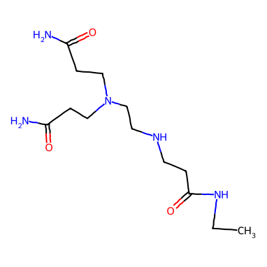 CCNC(=O)CCNCCN(CCC(N)=O)CCC(N)=O